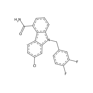 NC(=O)c1cccc2c1c1[c]cc(Cl)cc1n2Cc1ccc(F)c(F)c1